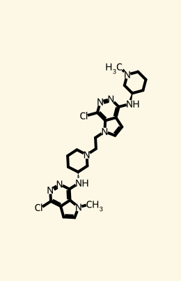 CN1CCC[C@@H](Nc2nnc(Cl)c3c2ccn3CCN2CCC[C@@H](Nc3nnc(Cl)c4ccn(C)c34)C2)C1